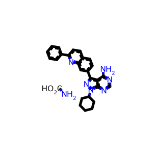 NC(=O)O.Nc1ncnc2c1c(-c1ccc3ccc(-c4ccccc4)nc3c1)nn2C1CCCCC1